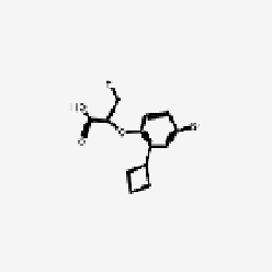 O=C(O)C(CF)Oc1ccc(Br)cc1C1CCC1